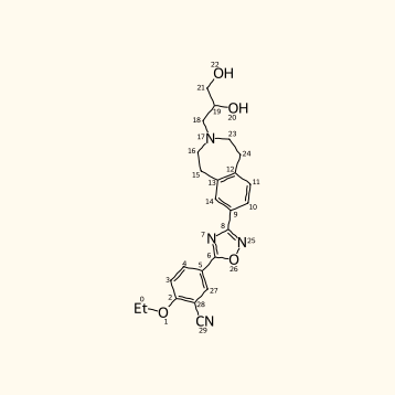 CCOc1ccc(-c2nc(-c3ccc4c(c3)CCN(CC(O)CO)CC4)no2)cc1C#N